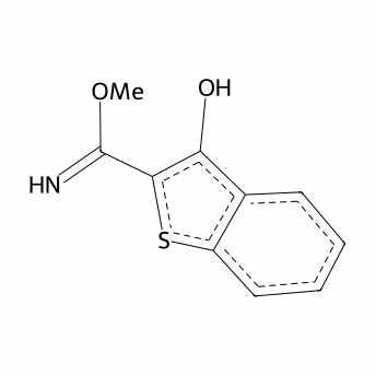 COC(=N)c1sc2ccccc2c1O